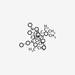 C=C(/C=C\C(=C/C)N(c1ccc(-c2ccccc2)cc1)c1cc(C)c(C)c(C)c1C)C1(c2ccc(N(c3ccc(-c4ccccc4)cc3)c3cc(C)c(C)c(C)c3C)cc2)c2ccccc2N(c2ccccc2)c2ccccc21